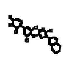 O=c1cnn(-c2cc(Cl)c(Oc3cc(-c4ccc5c(c4)CCCC5)c(Cl)nn3)c(Cl)c2)c(=O)[nH]1